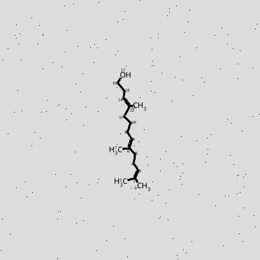 CC(C)=CCC/C(C)=C/CCC/C(C)=C/CCO